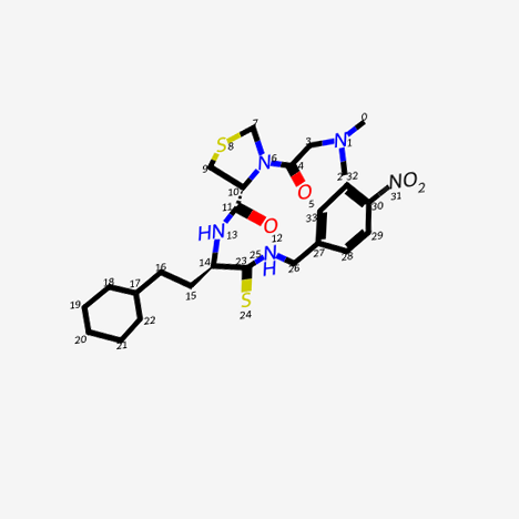 CN(C)CC(=O)N1CSC[C@H]1C(=O)N[C@H](CCC1CCCCC1)C(=S)NCc1ccc([N+](=O)[O-])cc1